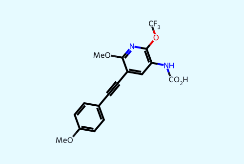 COc1ccc(C#Cc2cc(NC(=O)O)c(OC(F)(F)F)nc2OC)cc1